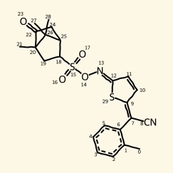 Cc1ccccc1/C(C#N)=C1C=C/C(=N/OS(=O)(=O)C2CC3(C)C(=O)CC2C3(C)C)S/1